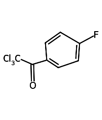 O=C(c1ccc(F)cc1)C(Cl)(Cl)Cl